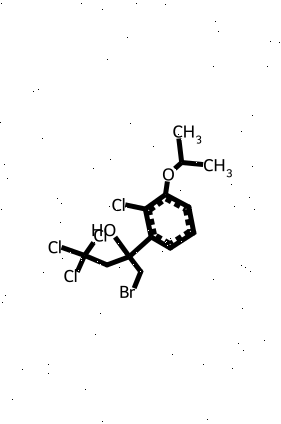 CC(C)Oc1cccc(C(O)(CBr)CC(Cl)(Cl)Cl)c1Cl